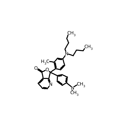 CCCCN(CCCC)c1ccc(C2(c3ccc(N(C)C)cc3)OC(=O)c3cccnc32)c(C)c1